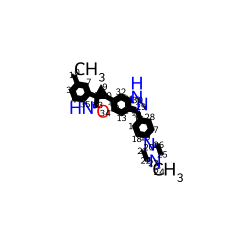 CCc1ccc2c(c1)C1(CC1c1ccc3c(-c4ccc(N5CCN(C)CC5)cc4)n[nH]c3c1)C(=O)N2